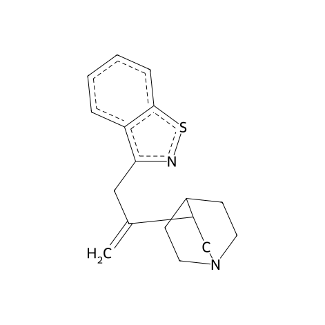 C=C(Cc1nsc2ccccc12)C1CN2CCC1CC2